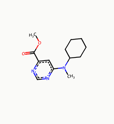 COC(=O)c1cc(N(C)C2CCCCC2)ncn1